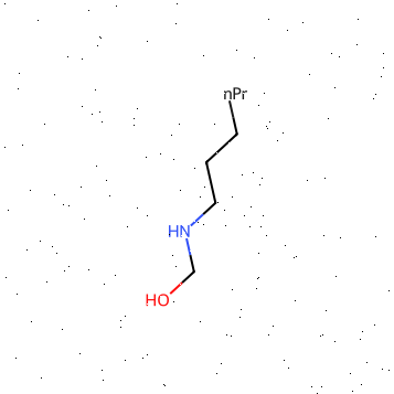 CCCCCCNCO